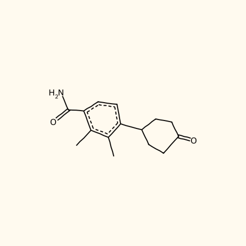 Cc1c(C(N)=O)ccc(C2CCC(=O)CC2)c1C